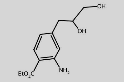 CCOC(=O)c1ccc(CC(O)CO)cc1N